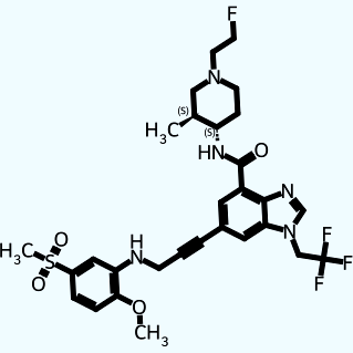 COc1ccc(S(C)(=O)=O)cc1NCC#Cc1cc(C(=O)N[C@H]2CCN(CCF)C[C@@H]2C)c2ncn(CC(F)(F)F)c2c1